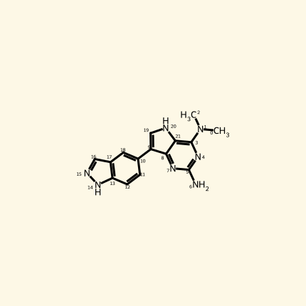 CN(C)c1nc(N)nc2c(-c3ccc4[nH]ncc4c3)c[nH]c12